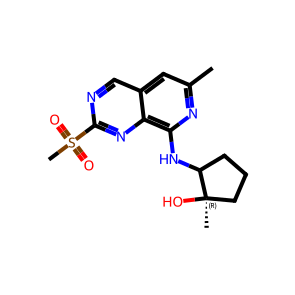 Cc1cc2cnc(S(C)(=O)=O)nc2c(NC2CCC[C@@]2(C)O)n1